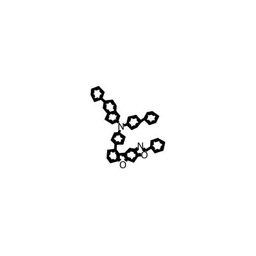 c1ccc(-c2ccc(N(c3ccc(-c4cccc5oc6cc7oc(-c8ccccc8)nc7cc6c45)cc3)c3ccc4cc(-c5ccccc5)ccc4c3)cc2)cc1